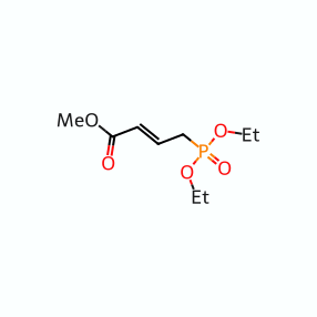 CCOP(=O)(C/C=C/C(=O)OC)OCC